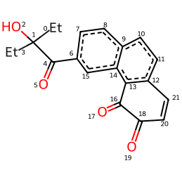 CCC(O)(CC)C(=O)c1ccc2ccc3c(c2c1)C(=O)C(=O)C=C3